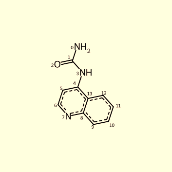 NC(=O)Nc1ccnc2ccccc12